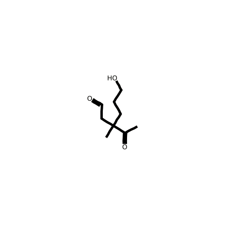 CC(=O)C(C)(CC=O)CCCO